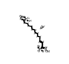 O=P([O-])([O-])C(CCCCCCCCCCCCC(=NO)P(=O)(O)O)=NO.[Na+].[Na+]